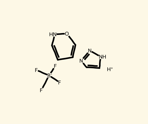 C1=CNOC=C1.F[B-](F)(F)F.[H+].c1c[nH]nn1